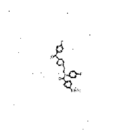 CC(=O)Nc1ccc(C(=O)N(CCN2CCC(C(=O)c3ccc(F)cc3)CC2)c2ccc(F)cc2)cc1